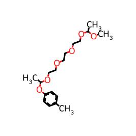 COC(C)OCCOCCOCCOC(C)Oc1ccc(C)cc1